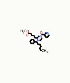 C/C=C\C=C/CC(c1ccccc1)N1CCN(C(=O)c2cccnc2)CC1CCCCC(=O)OC